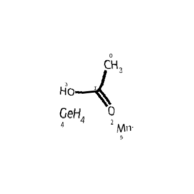 CC(=O)O.[GeH4].[Mn]